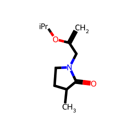 C=C(CN1CCC(C)C1=O)OC(C)C